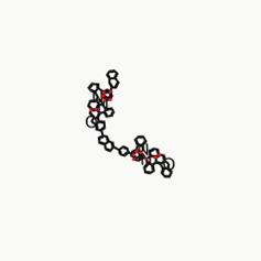 c1ccc(N(c2ccc(-c3ccc(-c4ccc5ccc(-c6ccc7c(c6)oc6cccc(-c8ccccc8N(c8ccc(-c9ccc%10ccccc%10c9)cc8)c8ccccc8-n8c9ccccc9c9ccccc98)c67)cc5c4)cc3)cc2)c2ccccc2-n2c3ccccc3c3ccccc32)c(-c2cccc3oc4ccccc4c23)c1